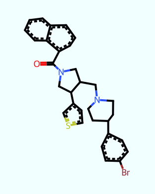 O=C(c1cccc2ccccc12)N1CC(CN2CCC(c3ccc(Br)cc3)CC2)C(c2ccsc2)C1